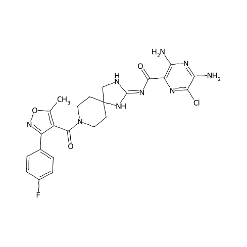 Cc1onc(-c2ccc(F)cc2)c1C(=O)N1CCC2(CC1)CN/C(=N\C(=O)c1nc(Cl)c(N)nc1N)N2